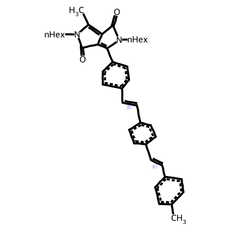 CCCCCCN1C(=O)C2=C(c3ccc(/C=C/c4ccc(/C=C/c5ccc(C)cc5)cc4)cc3)N(CCCCCC)C(=O)C2=C1C